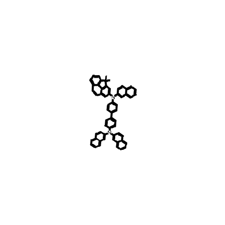 CC1(C)c2cccc3ccc4cc(N(c5ccc(-c6ccc(N(c7ccc8ccccc8c7)c7ccc8ccccc8c7)cc6)cc5)c5ccc6ccccc6c5)cc1c4c23